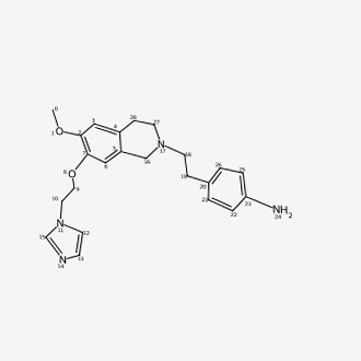 COc1cc2c(cc1OCCn1ccnc1)CN(CCc1ccc(N)cc1)CC2